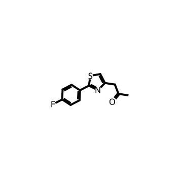 CC(=O)Cc1csc(-c2ccc(F)cc2)n1